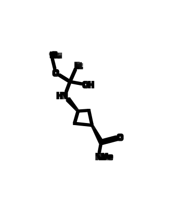 CCC(O)(N[C@H]1C[C@@H](C(=O)NC)C1)OC(C)(C)C